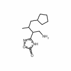 CC(CC1CCCC1)C(CN)c1noc(=O)[nH]1